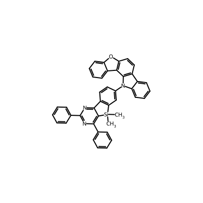 C[Si]1(C)c2cc(-n3c4ccccc4c4ccc5oc6ccccc6c5c43)ccc2-c2nc(-c3ccccc3)nc(-c3ccccc3)c21